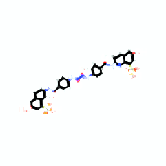 O=C(Nc1ccc(C(=O)Nc2ccc3cc(O)cc(S(=O)(=O)O)c3c2)cc1)C(=O)Nc1ccc(C(=O)Nc2ccc3cc(O)cc(S(=O)(=O)O)c3c2)cc1